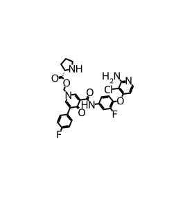 Nc1nccc(Oc2ccc(NC(=O)c3cn(COC(=O)[C@@H]4CCCN4)cc(-c4ccc(F)cc4)c3=O)cc2F)c1Cl